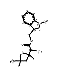 CC(C)(N)CC(C)(C)C(N)C(=O)NCC1OB(O)c2ccccc21